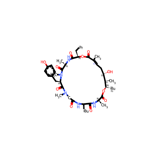 CCC(C)C1NC(=O)CN(C)C(=O)[C@@H](Cc2ccc(O)cc2)N(C)C(=O)[C@H](C)NC(=O)[C@@H](CC(C)C)OC(=O)/C(C)=C/C[C@H](O)[C@H](C)[C@@H]([C@@H](C)CC)OC(=O)[C@@H](C)NC1=O